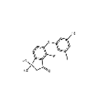 N#Cc1cc(F)cc(Oc2ccc3c(c2Br)C(=O)CS3(O)O)c1